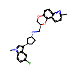 Cc1ccc2c3c(ccc2n1)OC[C@H](CN[C@@H]1CC[C@@H](c2cn(C)c4ccc(F)cc24)C1)O3